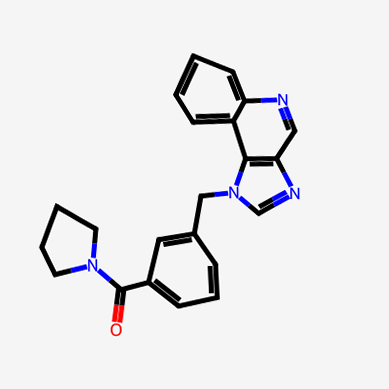 O=C(c1cccc(Cn2cnc3cnc4ccccc4c32)c1)N1CCCC1